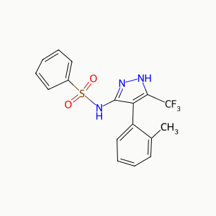 Cc1ccccc1-c1c(NS(=O)(=O)c2ccccc2)n[nH]c1C(F)(F)F